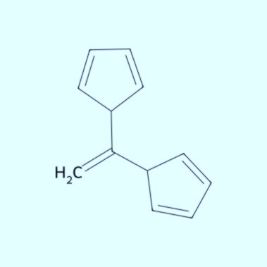 C=C(C1C=CC=C1)C1C=CC=C1